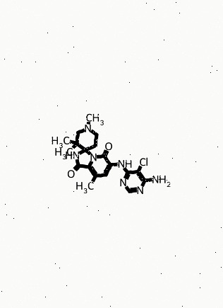 Cc1cc(Nc2ncnc(N)c2Cl)c(=O)n2c1C(=O)NC21CCN(C)CC1(C)C